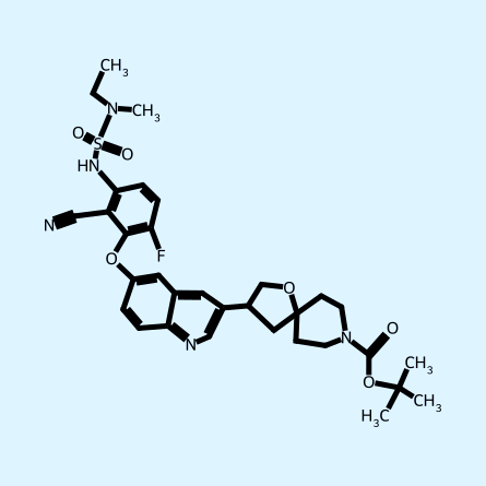 CCN(C)S(=O)(=O)Nc1ccc(F)c(Oc2ccc3ncc(C4COC5(CCN(C(=O)OC(C)(C)C)CC5)C4)cc3c2)c1C#N